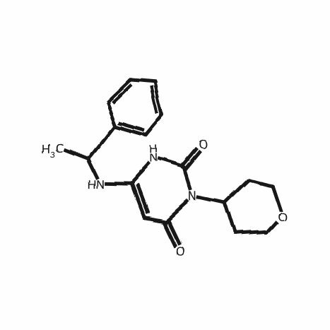 CC(Nc1cc(=O)n(C2CCOCC2)c(=O)[nH]1)c1ccccc1